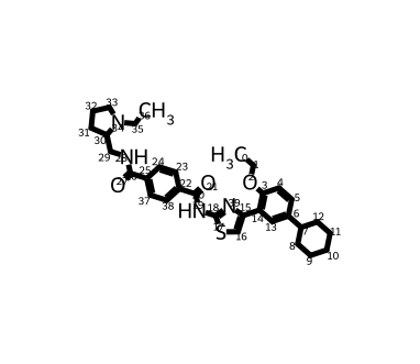 CCOc1ccc(C2CCCCC2)cc1-c1csc(NC(=O)c2ccc(C(=O)NCC3CCCN3CC)cc2)n1